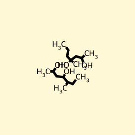 CCC(C)C(O)CC(C)O.CCCC(C)(O)CC(C)O